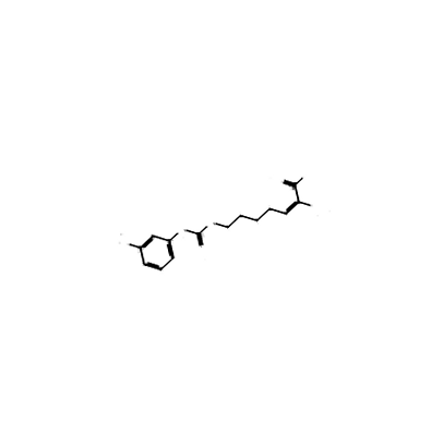 CC(=CCCCCNC(=O)Nc1cccc(O)c1)C(=O)O